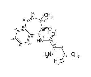 CC(C)C[C@H](N)C(=O)NC1C(=O)N(C)N=Cc2ccccc21